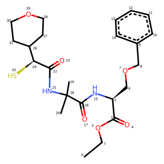 CCOC(=O)[C@H](COCc1ccccc1)NC(=O)C(C)(C)NC(=O)[C@@H](S)C1CCOCC1